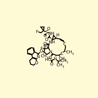 CC(C)N(C(=O)O)[C@@H]1C(=O)N2C[C@@](C)(Oc3nc4c(c5ccccc35)CCCO4)C(F)(F)[C@@H]2C(=O)N[C@]2(C(=O)NS(=O)(=O)C3(CF)CC3)C[C@H]2/C=C\CC[C@H](C)C[C@H]1C